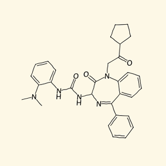 CN(C)c1ccccc1NC(=O)NC1N=C(c2ccccc2)c2ccccc2N(CC(=O)C2CCCC2)C1=O